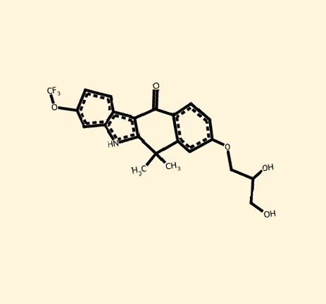 CC1(C)c2cc(OCC(O)CO)ccc2C(=O)c2c1[nH]c1cc(OC(F)(F)F)ccc21